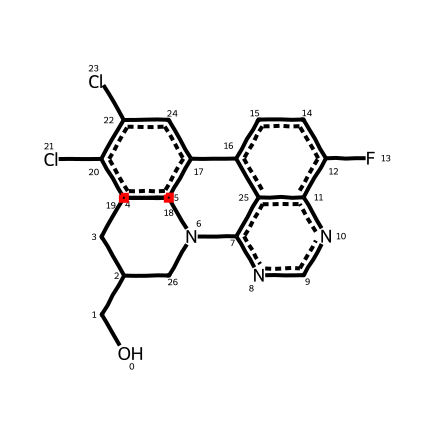 OCC1CCCN(c2ncnc3c(F)ccc(-c4ccc(Cl)c(Cl)c4)c23)C1